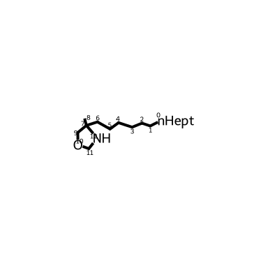 CCCCCCCCCCCCCC1(C)COCN1